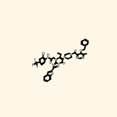 CCc1c(N2CCN(C(=O)c3ncnc(C)c3OCc3ccccc3)CC2)c(=O)n2nc(-c3cc4ccccc4s3)nc2n1CC(=O)Nc1ccc(C(F)(F)F)cc1Cl